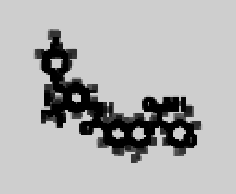 C[C@H]1CN(C(C(N)=O)C2CCOCC2)Cc2cc(C(=O)Nc3ccc(CN4CCN(C)CC4)c(C(F)(F)F)c3)ccc21